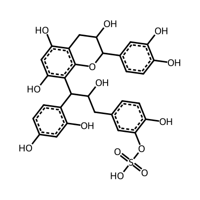 O=S(=O)(O)Oc1cc(CC(O)C(c2ccc(O)cc2O)c2c(O)cc(O)c3c2OC(c2ccc(O)c(O)c2)C(O)C3)ccc1O